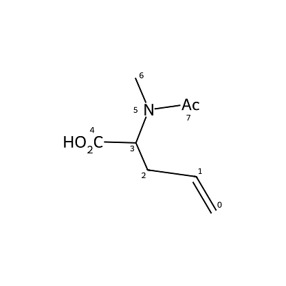 C=CCC(C(=O)O)N(C)C(C)=O